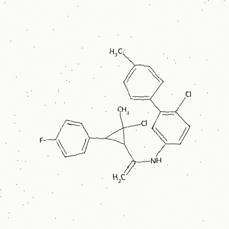 C=C(Nc1ccc(Cl)c(-c2ccc(C)cc2)c1)C1C(c2ccc(F)cc2)C1(C)Cl